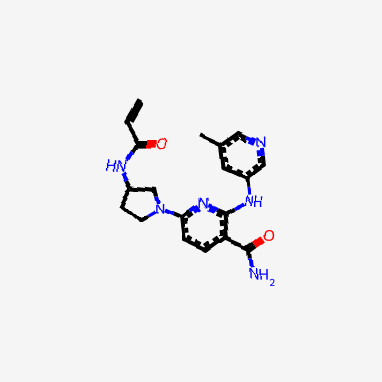 C=CC(=O)NC1CCN(c2ccc(C(N)=O)c(Nc3cncc(C)c3)n2)C1